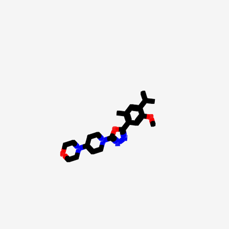 COc1cc(-c2nnc(N3CCC(N4CCOCC4)CC3)o2)c(C)cc1C(C)C